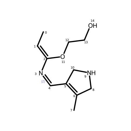 CC=C(/N=C\C1=C(C)CNC1)OCCO